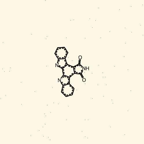 O=c1[nH]c(=O)c2c1c1c3ccccc3nc1c1nc3ccccc3c12